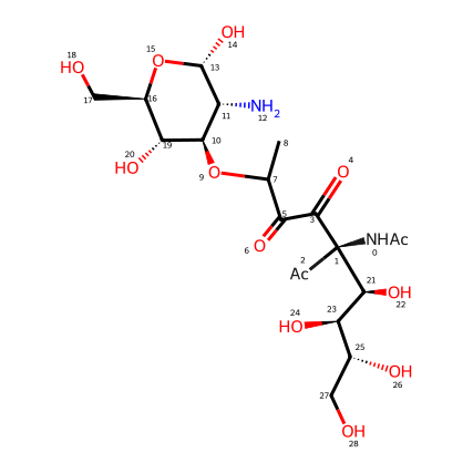 CC(=O)N[C@@](C(C)=O)(C(=O)C(=O)C(C)O[C@@H]1[C@@H](N)[C@@H](O)O[C@H](CO)[C@H]1O)[C@@H](O)[C@H](O)[C@H](O)CO